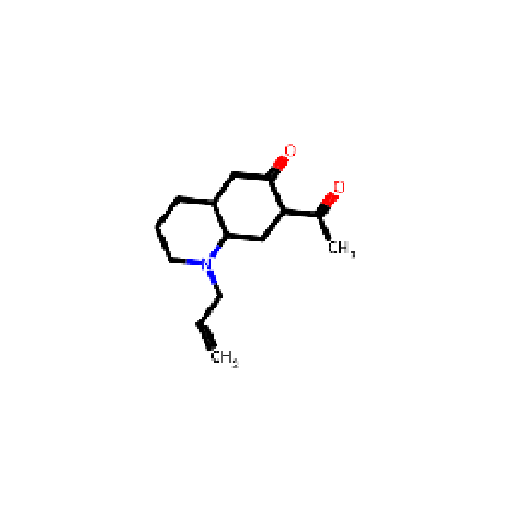 C=CCN1CCCC2CC(=O)C(C(C)=O)CC21